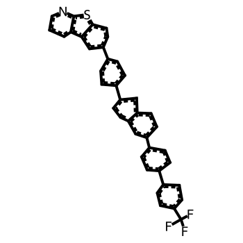 FC(F)(F)c1ccc(-c2ccc(-c3ccc4cc(-c5ccc(-c6ccc7sc8ncccc8c7c6)cc5)ccc4c3)cc2)cc1